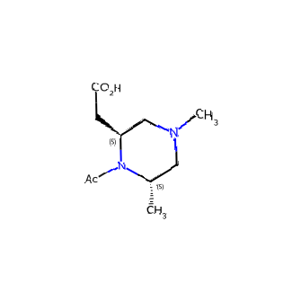 CC(=O)N1[C@@H](CC(=O)O)CN(C)C[C@@H]1C